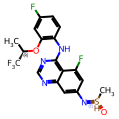 C[C@@H](Oc1cc(F)ccc1Nc1ncnc2cc(/N=[SH](\C)=O)cc(F)c12)C(F)(F)F